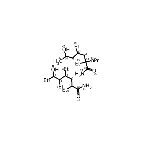 CCC(CC(CC)C(CC)C(O)CC)C(N)=O.CCCC(CC)(CC(CC)CC(C)O)C(N)=O